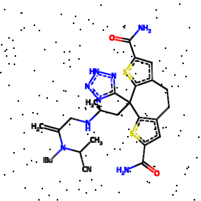 C=C(CN[C@@H](C)CC1(c2nn[nH]n2)c2sc(C(N)=O)cc2CCc2cc(C(N)=O)sc21)N(C(C)C#N)C(C)CC